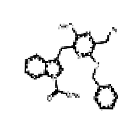 COC(=O)n1cc(Cc2nc(OCc3ccccc3)c(CC(C)C)nc2OC)c2ccccc21